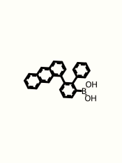 OB(O)c1cccc(-c2cccc3cc4ccccc4cc23)c1-c1ccccc1